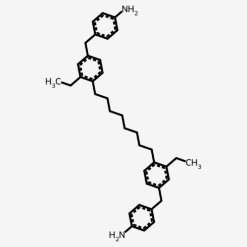 CCc1cc(Cc2ccc(N)cc2)ccc1CCCCCCCCc1ccc(Cc2ccc(N)cc2)cc1CC